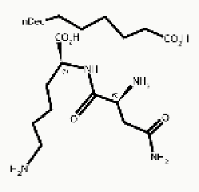 CCCCCCCCCCCCCCCC(=O)O.NCCCC[C@H](NC(=O)[C@@H](N)CC(N)=O)C(=O)O